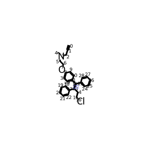 C#CCN(C)CCOc1ccc(/C(=C(/CCCl)c2ccccc2)c2ccccc2)cc1